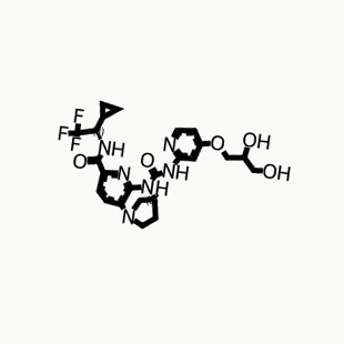 O=C(N[C@H](C1CC1)C(F)(F)F)c1ccc2c(n1)N(C(=O)Nc1cc(OCC(O)CO)ccn1)[C@H]1CCN2C1